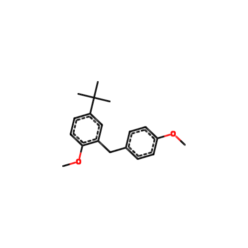 COc1ccc(Cc2cc(C(C)(C)C)ccc2OC)cc1